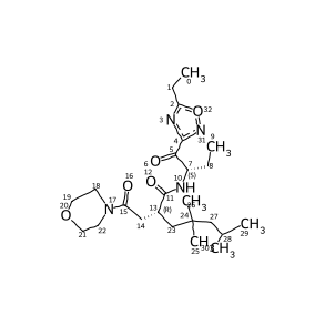 CCc1nc(C(=O)[C@H](CC)NC(=O)[C@@H](CC(=O)N2CCOCC2)CC(C)(C)CC(C)C)no1